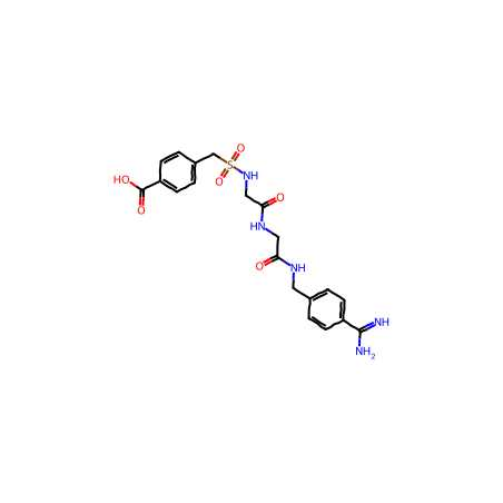 N=C(N)c1ccc(CNC(=O)CNC(=O)CNS(=O)(=O)Cc2ccc(C(=O)O)cc2)cc1